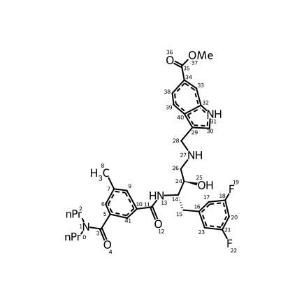 CCCN(CCC)C(=O)c1cc(C)cc(C(=O)N[C@@H](Cc2cc(F)cc(F)c2)[C@H](O)CNCc2c[nH]c3cc(C(=O)OC)ccc23)c1